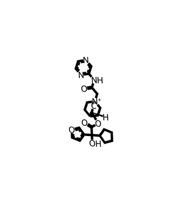 O=C(C[N+]12CCC(CC1)[C@@H](OC(=O)C(O)(c1ccoc1)C1CCCC1)C2)Nc1cnccn1